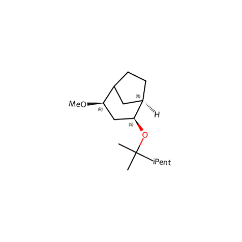 CCCC(C)C(C)(C)O[C@H]1C[C@@H](OC)C2CC[C@@H]1C2